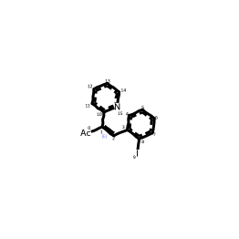 CC(=O)/C(=C/c1ccccc1I)c1ccccn1